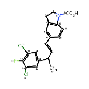 O=C(O)N1CCc2cc(/C=C/C(c3cc(Cl)c(F)c(Cl)c3)C(F)(F)F)ccc21